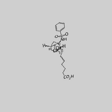 CC1(C)[C@@H]2CC[C@@H](CC=CCCCC(=O)O)[C@@]1(NS(=O)(=O)c1ccccc1)C2